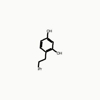 [CH2]C(C)CCc1ccc(O)cc1O